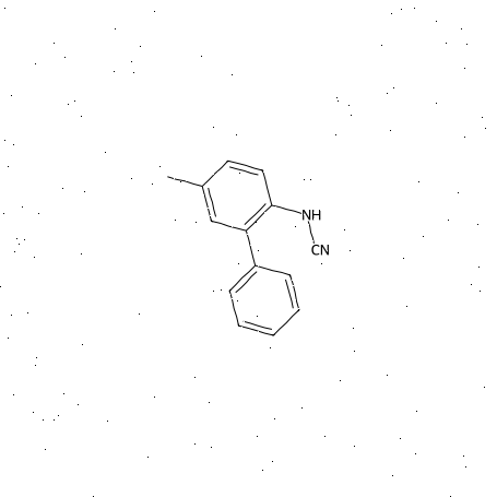 Cc1ccc(NC#N)c(-c2ccccc2)c1